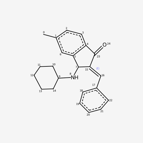 Cc1ccc2c(c1)C(NC1CCCCC1)/C(=C\c1ccccc1)C2=O